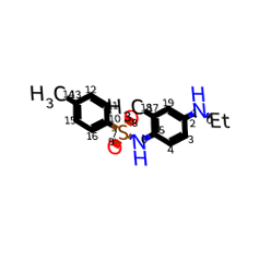 CCNc1ccc(NS(=O)(=O)c2ccc(C)cc2)c(C)c1